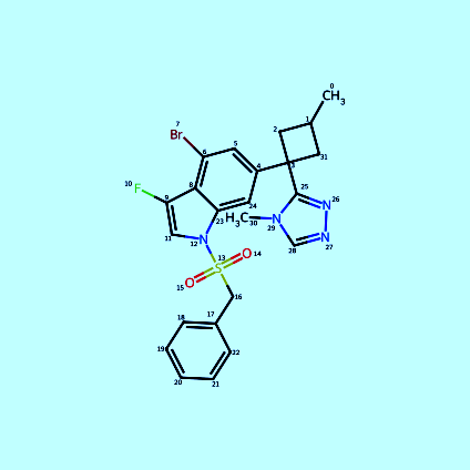 CC1CC(c2cc(Br)c3c(F)cn(S(=O)(=O)Cc4ccccc4)c3c2)(c2nncn2C)C1